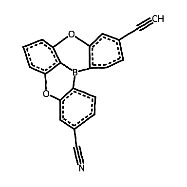 C#Cc1ccc2c(c1)Oc1cccc3c1B2c1ccc(C#N)cc1O3